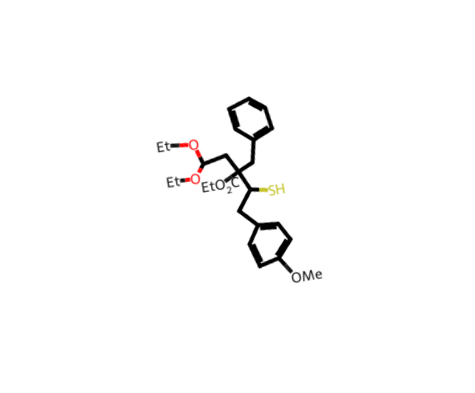 CCOC(=O)C(Cc1ccccc1)(CC(OCC)OCC)C(S)Cc1ccc(OC)cc1